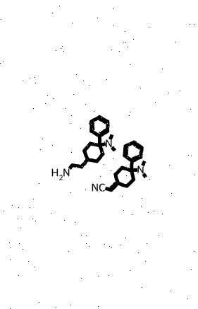 CN(C)C1(c2ccccc2)CCC(=CC#N)CC1.CN(C)C1(c2ccccc2)CCC(CCN)CC1